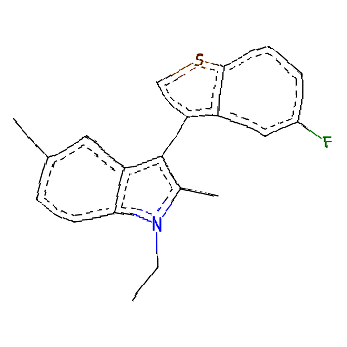 CCn1c(C)c(-c2csc3ccc(F)cc23)c2cc(C)ccc21